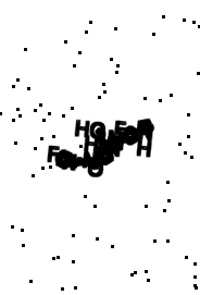 O=C(NCCCN1CCC(F)CC1)c1ccc2c(c1)n(CCO)c1nc(-c3ccc([C@H]4CCCN4)cc3F)cn21